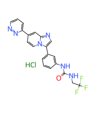 Cl.O=C(NCC(F)(F)F)Nc1cccc(-c2cnc3cc(-c4cccnn4)ccn23)c1